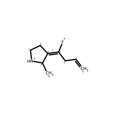 C=CC/C(F)=C1/CCNC1C